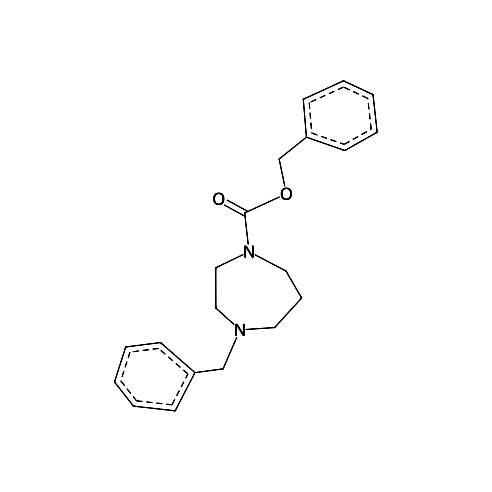 O=C(OCc1ccccc1)N1CCCN(Cc2ccccc2)CC1